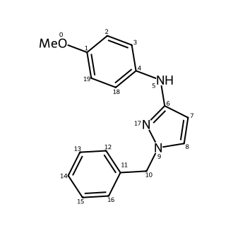 COc1ccc(Nc2ccn(Cc3ccccc3)n2)cc1